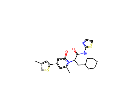 Cc1csc(-c2cc(C)n(C(CC3CCCCC3)C(=O)Nc3nccs3)c(=O)c2)c1